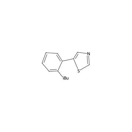 CCC(C)c1ccccc1-c1cncs1